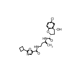 C=C(CCNC(=O)c1cnc(C2CCC2)o1)NC(=O)[C@H]1C[C@@H](O)c2cc(Cl)ccc2O1